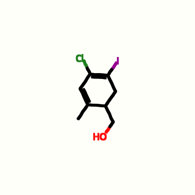 CC1=CC(Cl)=C(I)CC1CO